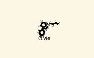 C=CCCN1CCC2(c3ccc(OC)cc3)CCC1C2